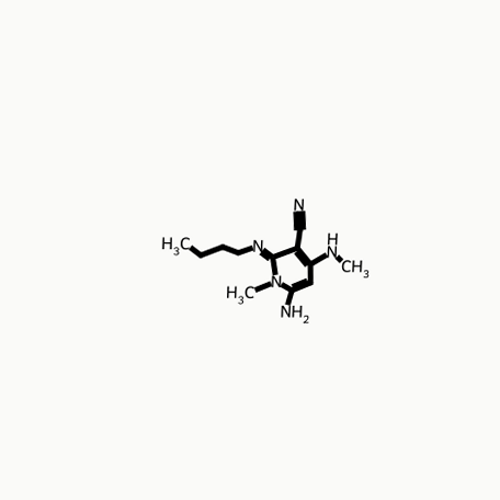 CCCCN=c1c(C#N)c(NC)cc(N)n1C